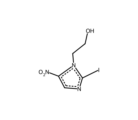 O=[N+]([O-])c1cnc(I)n1CCO